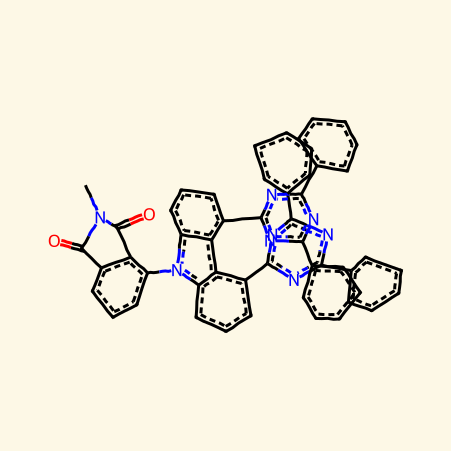 CN1C(=O)c2cccc(-n3c4cccc(-c5nc(-c6ccccc6)nc(-c6ccccc6)n5)c4c4c(-c5nc(-c6ccccc6)nc(-c6ccccc6)n5)cccc43)c2C1=O